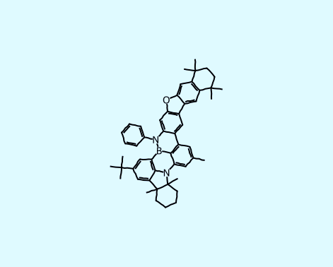 Cc1cc2c3c(c1)N1c4c(cc(C(C)(C)C)cc4C4(C)CCCCC14C)B3N(c1ccccc1)c1cc3oc4cc5c(cc4c3cc1-2)C(C)(C)CCC5(C)C